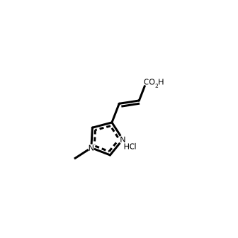 Cl.Cn1cnc(C=CC(=O)O)c1